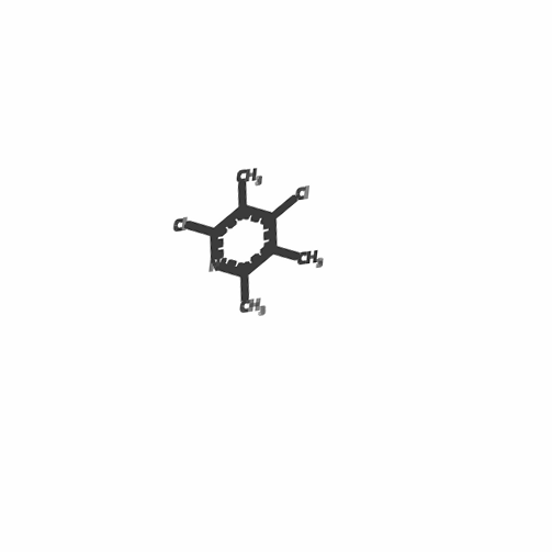 Cc1nc(Cl)c(C)c(Cl)c1C